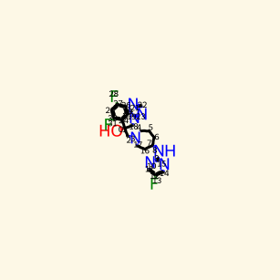 OC(CN1CCCC(Nc2ncc(F)cn2)CC1)(Cn1cncn1)c1ccc(F)cc1F